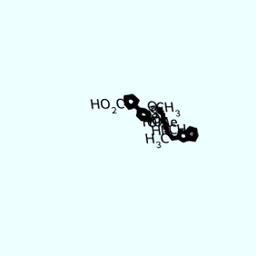 COc1ccc(-c2cccc(C(=O)O)c2)cc1S(=O)(=O)N(C)C[C@H](O)CNC(C)(C)CC1Cc2ccccc2C1